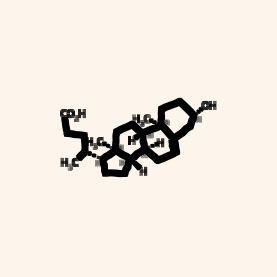 CC(CCC(=O)O)[C@H]1CC[C@H]2[C@@H]3CC=C4C[C@@H](O)CC[C@]4(C)[C@H]3CC[C@]12C